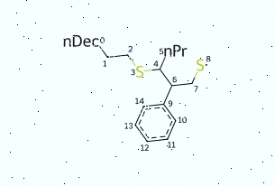 CCCCCCCCCCCCSC(CCC)C(C[S])c1ccccc1